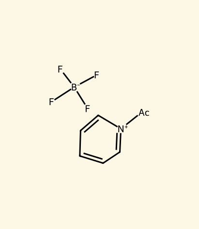 CC(=O)[n+]1ccccc1.F[B-](F)(F)F